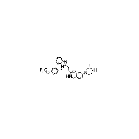 CC(NC(=O)CCc1nc2cccnc2n1Cc1ccc(OC(F)(F)F)cc1)c1ccc(N2CCN[C@@H](C)C2)cc1